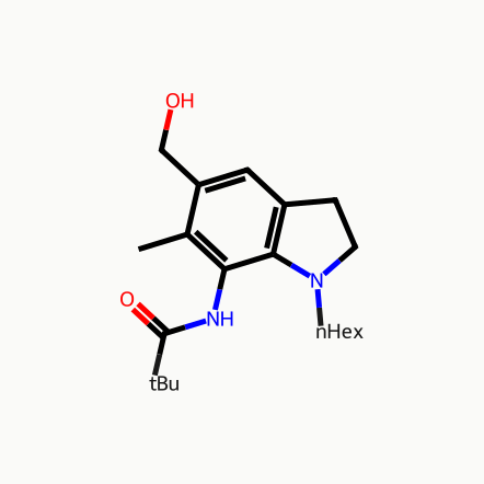 CCCCCCN1CCc2cc(CO)c(C)c(NC(=O)C(C)(C)C)c21